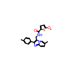 COc1ccc(C(=O)NCc2c(-c3ccc(C)cc3)nc3ccc(C)cn23)s1